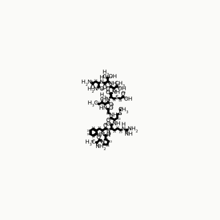 CCC(C)C(NC(=O)CNC(=O)C(CCSC)NC(=O)C(CCCNC(=N)N)NC(=O)C(Cc1ccccc1)NC(=O)C1CCCN1C(=O)C(C)N)C(=O)NC(CSCC(=O)O)C(=O)NC(C(=O)NC(C(=O)NC(CC(N)=O)C(N)=O)C(C)O)C(C)O